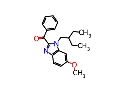 CCC(CC)Cn1c(C(=O)c2ccccc2)nc2ccc(OC)cc21